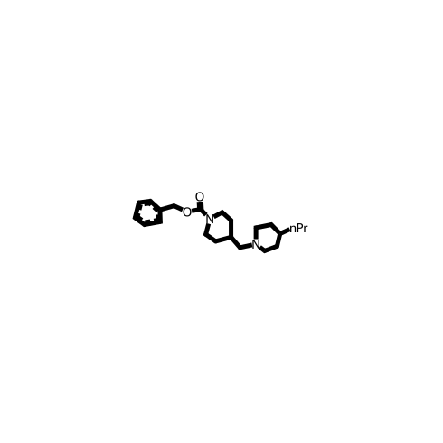 CCCC1CCN(CC2CCN(C(=O)OCc3ccccc3)CC2)CC1